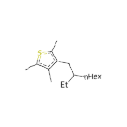 CCCCCCC(CC)Cc1c(C)sc(C)c1C